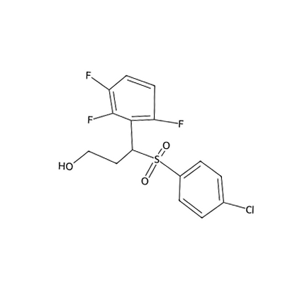 O=S(=O)(c1ccc(Cl)cc1)C(CCO)c1c(F)ccc(F)c1F